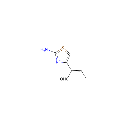 CC=C([C]=O)c1csc(N)n1